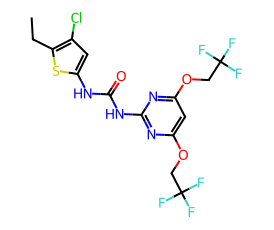 CCc1sc(NC(=O)Nc2nc(OCC(F)(F)F)cc(OCC(F)(F)F)n2)cc1Cl